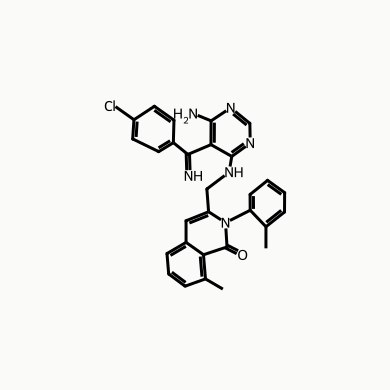 Cc1ccccc1-n1c(CNc2ncnc(N)c2C(=N)c2ccc(Cl)cc2)cc2cccc(C)c2c1=O